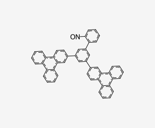 O=Nc1ccccc1-c1cc(-c2ccc3c4ccccc4c4ccccc4c3c2)cc(-c2ccc3c4ccccc4c4ccccc4c3c2)c1